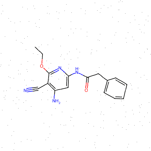 CCOc1nc(NC(=O)Cc2ccccc2)cc(N)c1C#N